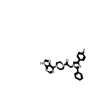 O=C(Cn1cc(-c2ccc(F)cc2)nc1-c1ccccc1)N1CCN(c2ncnc3[nH]cnc23)CC1